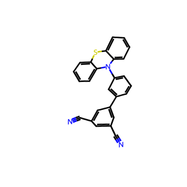 N#Cc1cc(C#N)cc(-c2cccc(N3c4ccccc4Sc4ccccc43)c2)c1